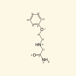 NC(=O)CNCCOc1ccccc1